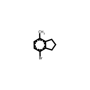 Cc1ccc(Br)c2c1CCC2